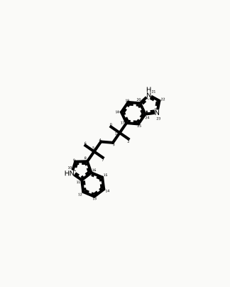 CC(C)(CCC(C)(C)c1c[nH]c2ccccc12)c1ccc2[nH]cnc2c1